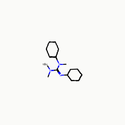 CCCCN(C)C(=NC1CCCCC1)N(C)C1CCCCC1